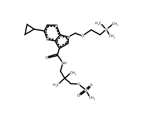 CC(C)(CNC(=O)c1cn(COCC[Si](C)(C)C)c2ncc(C3CC3)nc12)COS(C)(=O)=O